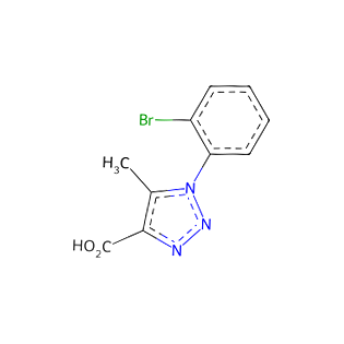 Cc1c(C(=O)O)nnn1-c1ccccc1Br